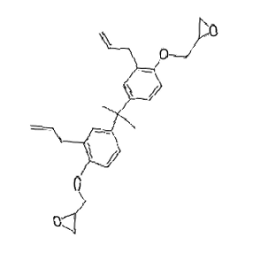 C=CCc1cc(C(C)(C)c2ccc(OCC3CO3)c(CC=C)c2)ccc1OCC1CO1